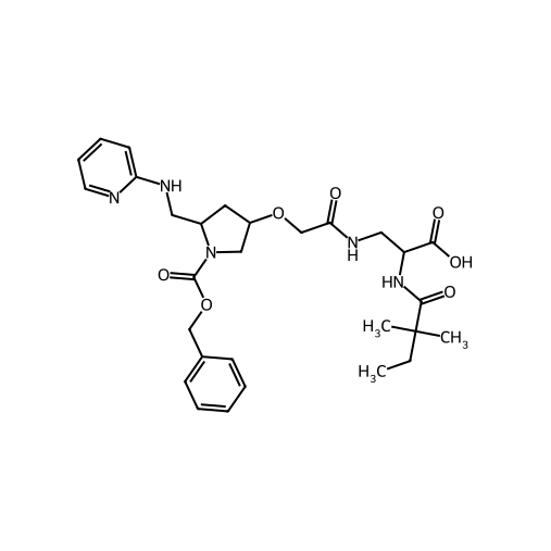 CCC(C)(C)C(=O)NC(CNC(=O)COC1CC(CNc2ccccn2)N(C(=O)OCc2ccccc2)C1)C(=O)O